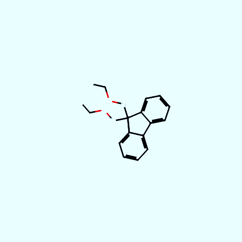 CCOBC1(BOCC)c2ccccc2-c2ccccc21